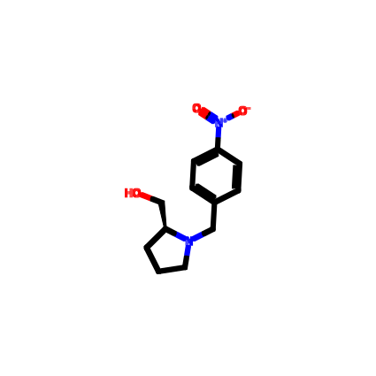 O=[N+]([O-])c1ccc(CN2CCC[C@H]2CO)cc1